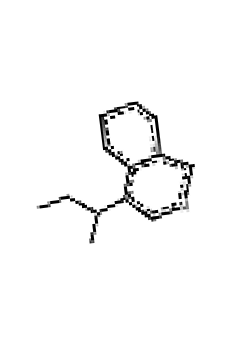 CCC(C)c1cncc2ccccc12